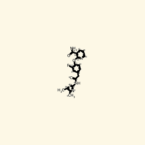 Cc1nc(NC(=O)Cc2ccc(Oc3ncccc3C(N)=O)c(F)c2)sc1C